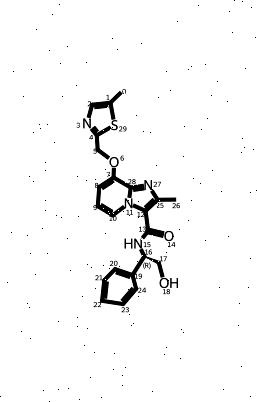 Cc1cnc(COc2cccn3c(C(=O)N[C@@H](CO)c4ccccc4)c(C)nc23)s1